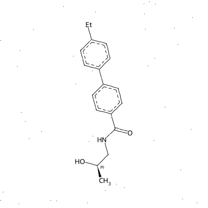 CCc1ccc(-c2ccc(C(=O)NC[C@@H](C)O)cc2)cc1